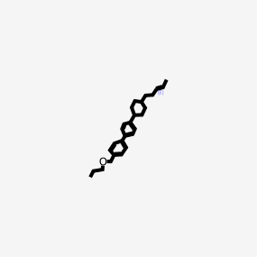 C/C=C/CCC1CCC(c2ccc(-c3ccc(COCCC)cc3)cc2)CC1